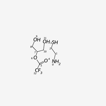 NCCS.O=C(OC(CO)CO)C(F)(F)F